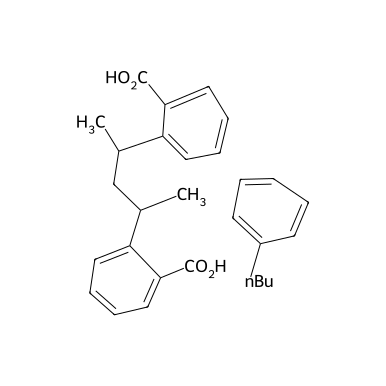 CC(CC(C)c1ccccc1C(=O)O)c1ccccc1C(=O)O.CCCCc1ccccc1